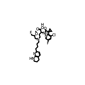 COC(CF)CN(CCCCc1ccc2c(n1)NCCC2)CCC(NC(=O)C1(c2ncc(F)cc2Cl)CC1)C(=O)O